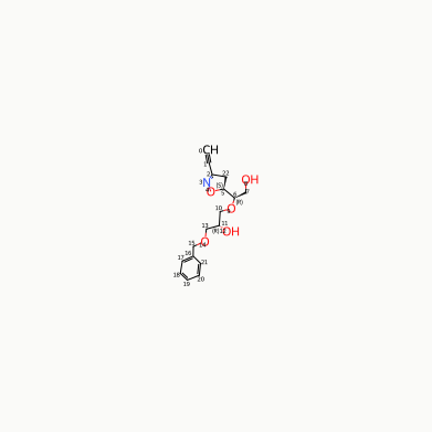 C#CC1=NO[C@H]([C@@H](CO)OC[C@H](O)COCc2ccccc2)C1